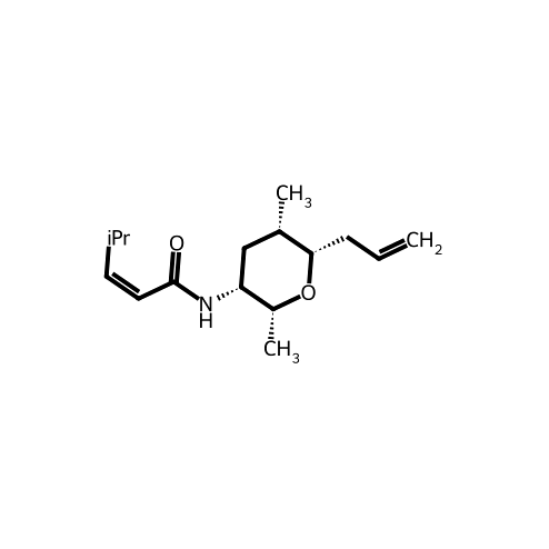 C=CC[C@@H]1O[C@H](C)[C@H](NC(=O)/C=C\C(C)C)C[C@@H]1C